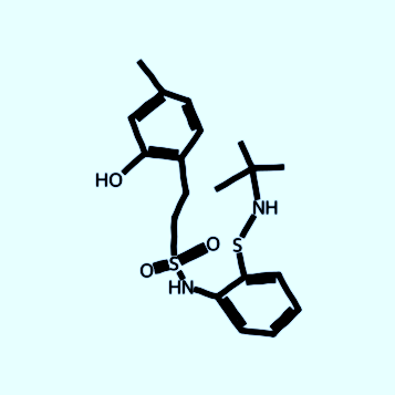 Cc1ccc(CCS(=O)(=O)Nc2ccccc2SNC(C)(C)C)c(O)c1